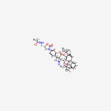 CC(=O)NC[C@H]1CN(c2ccc(C3=C(C(=O)OC(C)(C)C)[C@@H](CO[Si](c4ccccc4)(c4ccccc4)C(C)(C)C)NC3)cc2)C(=O)O1